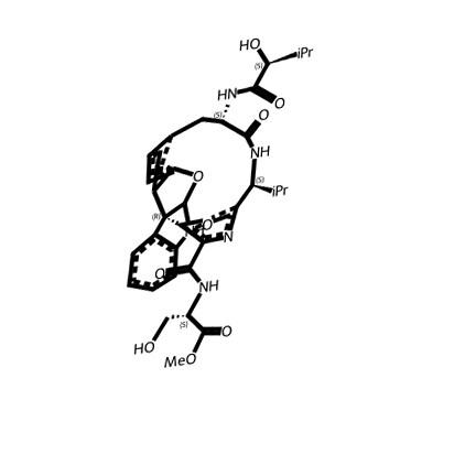 COC(=O)[C@H](CO)NC(=O)c1nc2oc1[C@@]13c4ccccc4NC1Oc1ccc(cc13)C[C@H](NC(=O)[C@@H](O)C(C)C)C(=O)N[C@H]2C(C)C